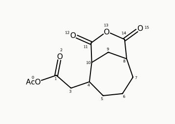 CC(=O)OC(=O)CC1CCCC2CC1C(=O)OC2=O